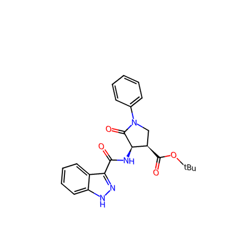 CC(C)(C)OC(=O)[C@@H]1CN(c2ccccc2)C(=O)[C@@H]1NC(=O)c1n[nH]c2ccccc12